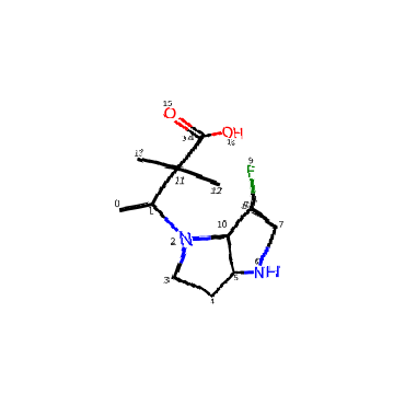 CC(N1CCC2NCC(F)C21)C(C)(C)C(=O)O